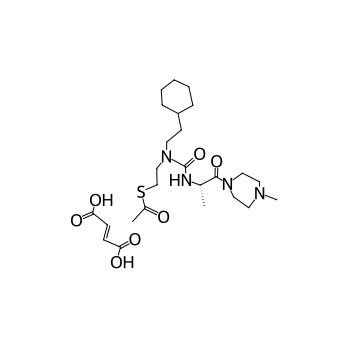 CC(=O)SCCN(CCC1CCCCC1)C(=O)N[C@@H](C)C(=O)N1CCN(C)CC1.O=C(O)/C=C/C(=O)O